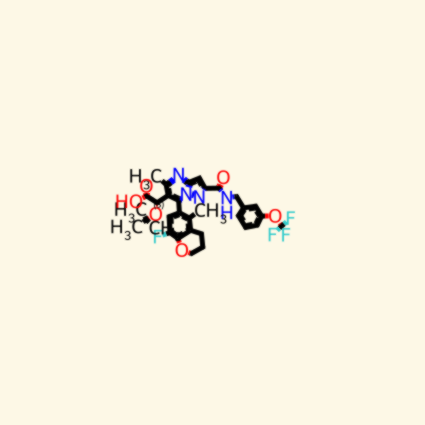 Cc1nc2cc(C(=O)NCc3cccc(OC(F)(F)F)c3)nn2c(-c2cc(F)c3c(c2C)CCCO3)c1[C@H](OC(C)(C)C)C(=O)O